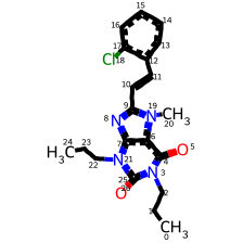 CCCn1c(=O)c2c(nc(C=Cc3ccccc3Cl)n2C)n(CCC)c1=O